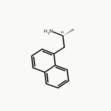 C[C@@H](N)Cc1cccc2ccccc12